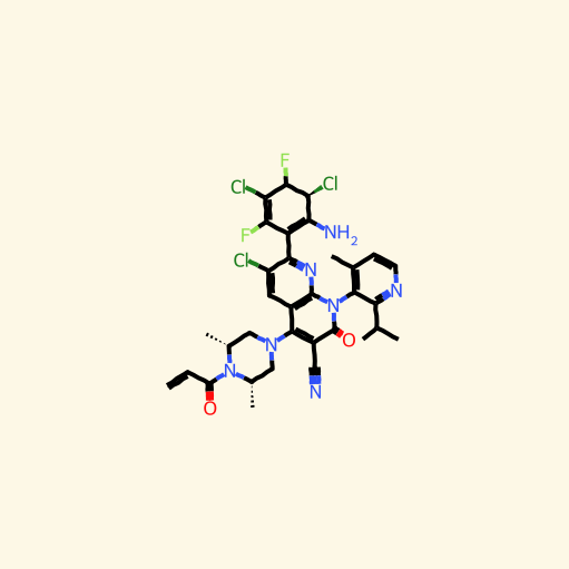 C=CC(=O)N1[C@H](C)CN(c2c(C#N)c(=O)n(-c3c(C)ccnc3C(C)C)c3nc(C4=C(N)[C@H](Cl)C(F)C(Cl)=C4F)c(Cl)cc23)C[C@@H]1C